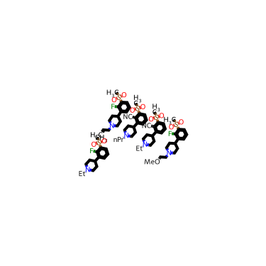 C=CCN1CCC(c2cccc(S(C)(=O)=O)c2F)CC1.CCCN1CCC(c2cccc(S(C)(=O)=O)c2C#N)CC1.CCN1CCC(c2cccc(S(C)(=O)=O)c2C#N)CC1.CCN1CCC(c2cccc(S(C)(=O)=O)c2F)CC1.COCCN1CCC(c2cccc(S(C)(=O)=O)c2F)CC1